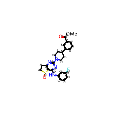 COC(=O)c1cccc(C2CCN(c3nc4c(c(Nc5cccc(F)c5)n3)[S+]([O-])CC4)CC2)c1